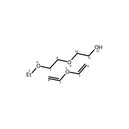 C=COC=C.CCOCCOCCO